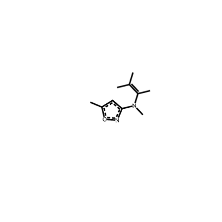 CC(C)=C(C)N(C)c1cc(C)on1